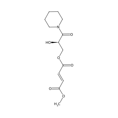 COC(=O)/C=C/C(=O)OC[C@@H](O)C(=O)N1CCCCC1